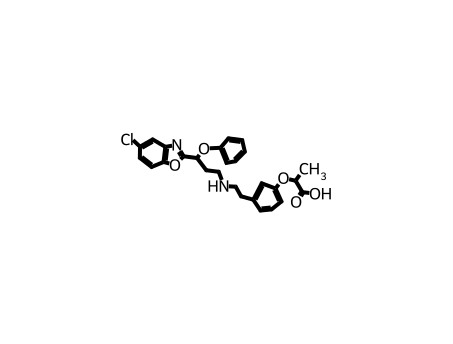 CC(Oc1cccc(CCNCCC(Oc2ccccc2)c2nc3cc(Cl)ccc3o2)c1)C(=O)O